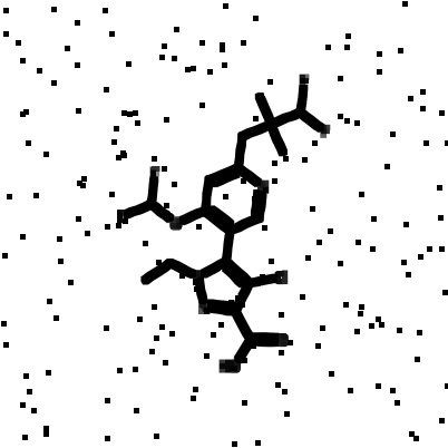 CCn1nc(C(=O)O)c(Cl)c1-c1cnc(CC(C)(C)C(F)F)cc1OC(F)F